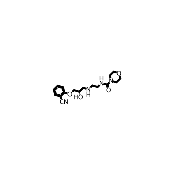 N#Cc1ccccc1OC[C@@H](O)CNCCNC(=O)N1CCOCC1